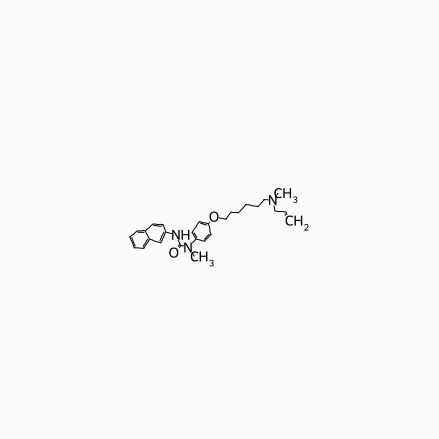 C=CCN(C)CCCCCCOc1ccc(N(C)C(=O)Nc2ccc3ccccc3c2)cc1